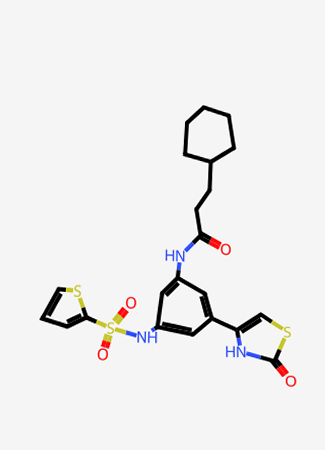 O=C(CCC1CCCCC1)Nc1cc(NS(=O)(=O)c2cccs2)cc(-c2csc(=O)[nH]2)c1